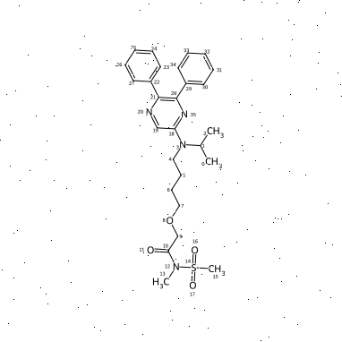 CC(C)N(CCCCOCC(=O)N(C)S(C)(=O)=O)c1cnc(-c2ccccc2)c(-c2ccccc2)n1